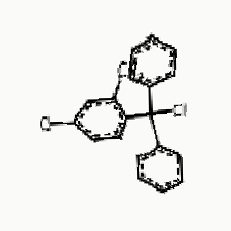 Cc1cc(Cl)ccc1C(Cl)(c1ccccc1)c1ccccc1